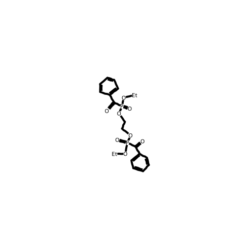 CCOP(=O)(OCCOP(=O)(OCC)C(=O)c1ccccc1)C(=O)c1ccccc1